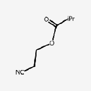 [CH2]C(C)C(=O)OCCC#N